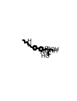 CCCCCNCc1ccc(-c2ccc(C(=O)N[C@H](C(=O)NO)[C@@H](C)O)cc2)cc1